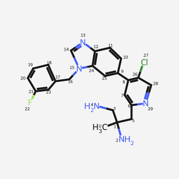 CC(N)(CN)Cc1cc(-c2ccc3ncn(Cc4cccc(F)c4)c3c2)c(Cl)cn1